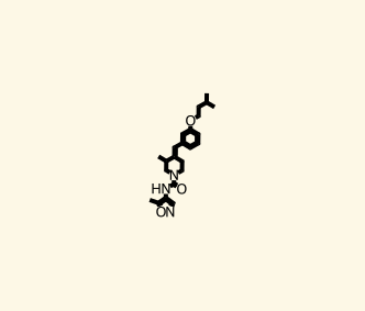 Cc1oncc1NC(=O)N1CC/C(=C\c2cccc(OCCC(C)C)c2)C(C)C1